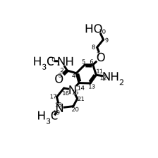 CNC(=O)c1cc(OCCO)c(N)cc1N1CCN(C)CC1